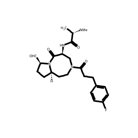 CN[C@@H](C)C(=O)N[C@H]1CN(C(=O)CCc2ccc(F)cc2)CC[C@H]2CC[C@@H](C=O)N2C1=O